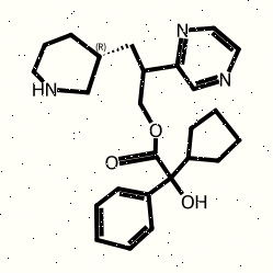 O=C(OCC(C[C@H]1CCCNC1)c1cnccn1)C(O)(c1ccccc1)C1CCCC1